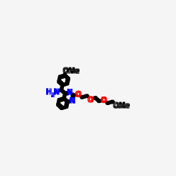 COCCOCCOCCOc1nc(C(N)c2ccc(OC)cc2)c2ccccc2n1